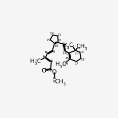 CCOC(=O)C=C(C)C=CC1=C(C=CC2=C(C)CCCC2(C)C)CCC1